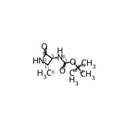 C[C@@H]1NC(=O)[C@H]1NC(=O)OC(C)(C)C